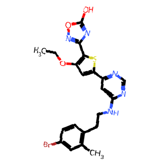 CCOc1cc(-c2cc(NCCc3ccc(Br)cc3C)ncn2)sc1-c1noc(O)n1